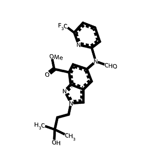 COC(=O)c1cc(N(C=O)c2cccc(C(F)(F)F)n2)cc2cn(CCC(C)(C)O)nc12